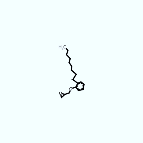 CCCCCCCC[CH]c1ccccc1OCC1CO1